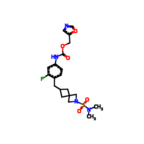 CN(C)S(=O)(=O)N1CC2(CC(Cc3ccc(NC(=O)OCc4cnco4)cc3F)C2)C1